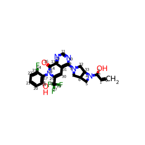 C=CC(O)N1CC2CN(c3ncnc4c(=O)n(-c5c(O)cccc5F)c(C(F)(F)F)cc34)CC21